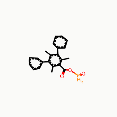 Cc1c(C(=O)O[PH2]=O)c(C)c(-c2ccccc2)c(C)c1-c1ccccc1